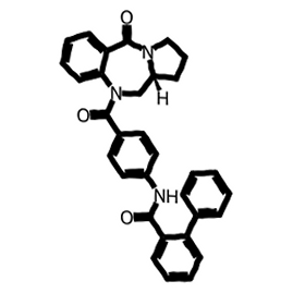 O=C(Nc1ccc(C(=O)N2C[C@H]3CCCN3C(=O)c3ccccc32)cc1)c1ccccc1-c1ccccc1